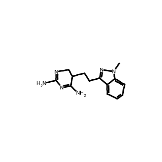 Cn1nc(CCC2CN=C(N)N=C2N)c2ccccc21